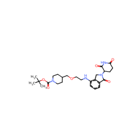 CC(C)(C)OC(=O)N1CCC(COCCNc2cccc3c2CN(C2CCC(=O)NC2=O)C3=O)CC1